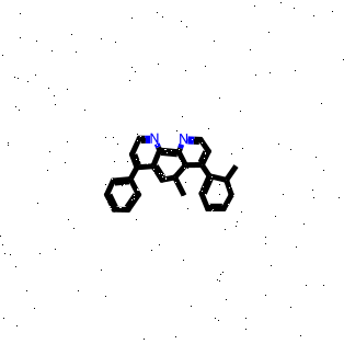 CC1CC=CC=C1C1=CC=NC2=c3nccc(-c4ccccc4)c3=CC(C)C12